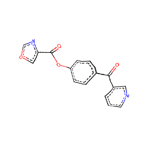 O=C(c1ccc(OC(=O)c2cocn2)cc1)c1cccnc1